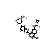 CC1CN(c2ccc3oc(-c4cnc(N)c5cnc(NC(=O)C6CC6)cc45)nc3c2)CCO1